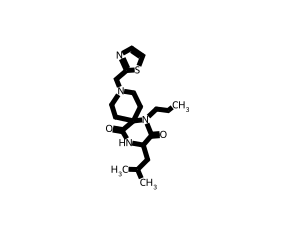 CCCN1C(=O)C(CC(C)C)NC(=O)C12CCN(Cc1nccs1)CC2